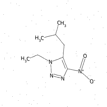 CCn1nnc([N+](=O)[O-])c1CC(C)C